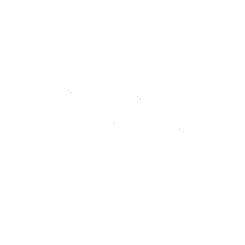 CC(C)N1CCCCC(CF)(OCC(C)N2CC(CC(C)N3CCC(C)C(C)(O)CC3)CCC(C)(O)C2)C1